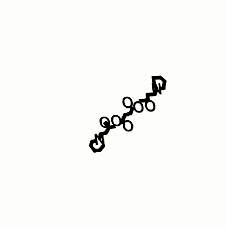 O=C(CCN1CCCCC1)COC(=O)CCC(=O)OCC(=O)CCN1CCCCC1